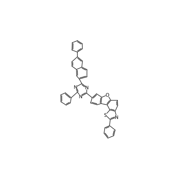 c1ccc(-c2ccc3cc(-c4nc(-c5ccccc5)nc(-c5ccc6c(c5)oc5ccc7nc(-c8ccccc8)sc7c56)n4)ccc3c2)cc1